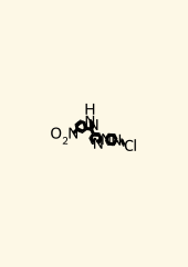 O=[N+]([O-])c1ccc2[nH]nc(-c3ccnc(N4CCN(CCCl)CC4)c3)c2c1